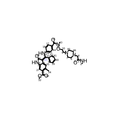 CNC(=O)CN1CCN(CCON(C)C(=O)c2ccc(N/C(=C3\C(=O)Nc4cc(C(=O)OC)c(C)cc43)c3ccccc3)cc2)CC1